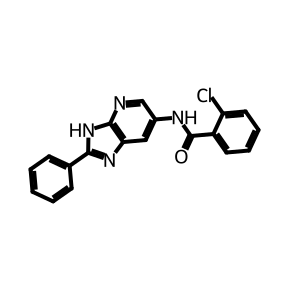 O=C(Nc1cnc2[nH]c(-c3ccccc3)nc2c1)c1ccccc1Cl